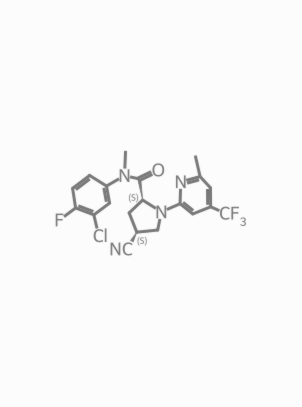 Cc1cc(C(F)(F)F)cc(N2C[C@@H](C#N)C[C@H]2C(=O)N(C)c2ccc(F)c(Cl)c2)n1